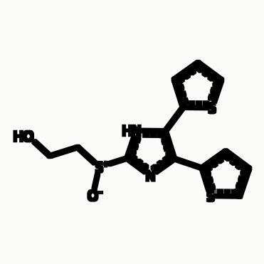 [O-][S+](CCO)c1nc(-c2cccs2)c(-c2cccs2)[nH]1